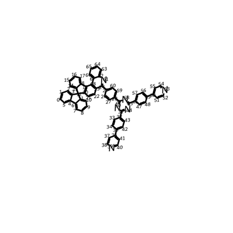 c1ccc2c(c1)-c1ccccc1C21c2ccccc2-c2c1ccc1c(-c3ccc(-c4nc(-c5ccc(-c6ccncc6)cc5)nc(-c5ccc(-c6ccncc6)cc5)n4)cc3)nc3ccccc3c21